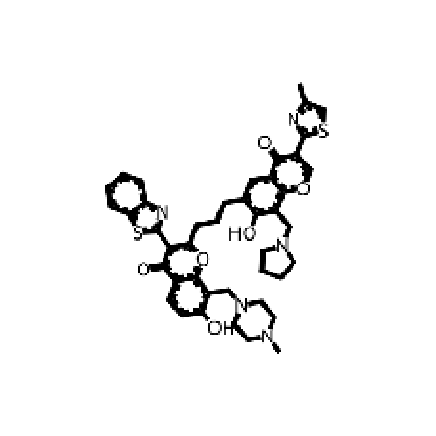 Cc1csc(-c2coc3c(CN4CCCC4)c(O)c(CCCc4oc5c(CN6CCN(C)CC6)c(O)ccc5c(=O)c4-c4nc5ccccc5s4)cc3c2=O)n1